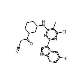 Cc1c(Cl)nc(-c2cnc3ccc(F)cn23)nc1N[C@@H]1CCCN(C(=O)CC#N)C1